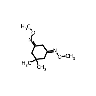 CO/N=C1\C/C(=N/OC)CC(C)(C)C1